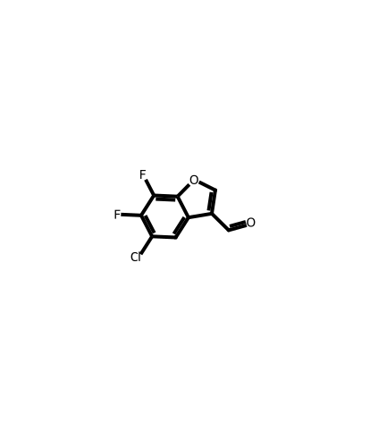 O=Cc1coc2c(F)c(F)c(Cl)cc12